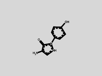 Nc1c[nH]n(-c2ccc(O)cc2)c1=O